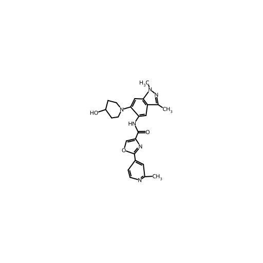 Cc1cc(-c2nc(C(=O)Nc3cc4c(C)nn(C)c4cc3N3CCC(O)CC3)co2)ccn1